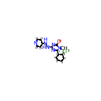 Cn1c(-c2ccccc2Cl)nc(NNc2ccncc2)nc1=O